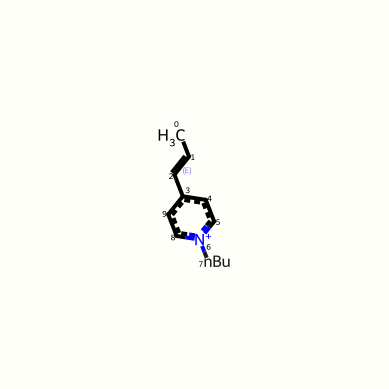 C/C=C/c1cc[n+](CCCC)cc1